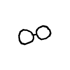 C1CCCCC[C](C2CCCCCCCCCC2)CCCCC1